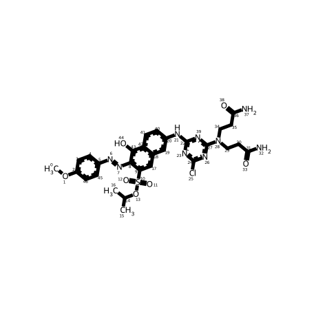 COc1ccc(N=Nc2c(S(=O)(=O)OC(C)C)cc3cc(Nc4nc(Cl)nc(N(CCC(N)=O)CCC(N)=O)n4)ccc3c2O)cc1